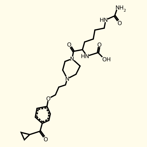 NC(=O)NCCCCC(NC(=O)O)C(=O)N1CCN(CCCOc2ccc(C(=O)C3CC3)cc2)CC1